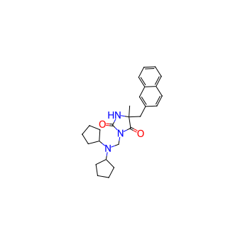 CC1(Cc2ccc3ccccc3c2)NC(=O)N(CN(C2CCCC2)C2CCCC2)C1=O